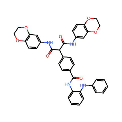 O=C(Nc1ccccc1Nc1ccccc1)c1ccc(C(C(=O)Nc2ccc3c(c2)OCCO3)C(=O)Nc2ccc3c(c2)OCCO3)cc1